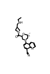 CCNCC1CN(C(=O)C2CN(c3ccc(C#N)c4ncccc34)C[C@@H](C)O2)C1